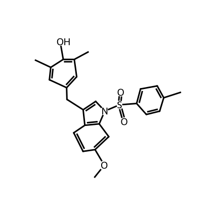 COc1ccc2c(Cc3cc(C)c(O)c(C)c3)cn(S(=O)(=O)c3ccc(C)cc3)c2c1